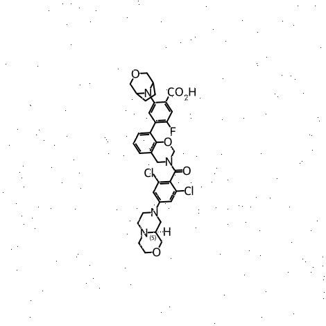 O=C(O)c1cc(F)c(-c2cccc3c2OCN(C(=O)c2c(Cl)cc(N4CCN5CCOC[C@@H]5C4)cc2Cl)C3)cc1N1C2CCC1COC2